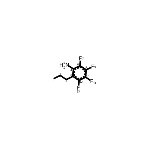 CCCc1c(N)c(F)c(F)c(F)c1F